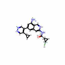 Nc1cc(-c2cnncc2C2CC2)cc2cc(NC(=O)[C@H]3C[C@H]3F)ncc12